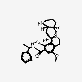 COc1cc(C(=O)NC(C)c2ccccc2)c(OC)c2c1CCN1C[C@H]3CCCN[C@H]3C[C@H]21